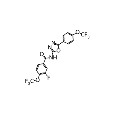 O=C(Nc1nnc(-c2ccc(OC(F)(F)F)cc2)o1)c1ccc(OC(F)(F)F)c(F)c1